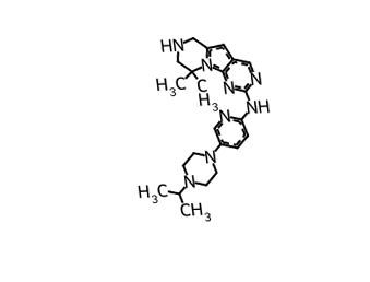 CC(C)N1CCN(c2ccc(Nc3ncc4cc5n(c4n3)C(C)(C)CNC5)nc2)CC1